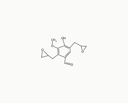 COc1c(O)c(CC2CO2)cc(C=O)c1CC1CO1